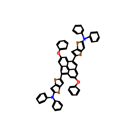 c1ccc(Oc2cc3cc(-c4cc5sc(N(c6ccccc6)c6ccccc6)cc5s4)c4cc(Oc5ccccc5)cc5cc(-c6cc7sc(N(c8ccccc8)c8ccccc8)cc7s6)c(c2)c3c54)cc1